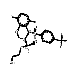 C[C@](C#N)(OCCO)[C@@H]1COc2c(F)ccc(F)c2[C@H]1S(=O)(=O)c1ccc(C(F)(F)F)cc1